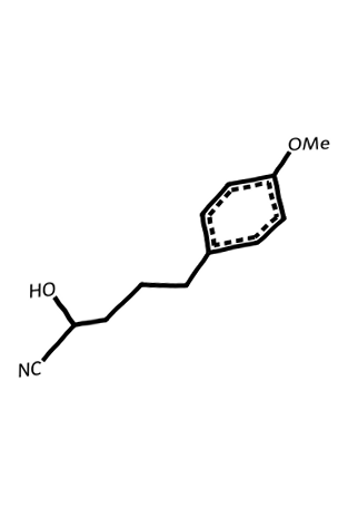 COc1ccc(CCCC(O)C#N)cc1